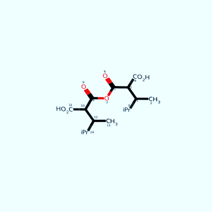 CC(C)C(C)C(C(=O)O)C(=O)OC(=O)C(C(=O)O)C(C)C(C)C